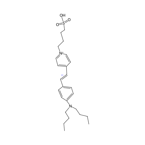 CCCCN(CCCC)c1ccc(/C=C/c2cc[n+](CCCCS(=O)(=O)O)cc2)cc1